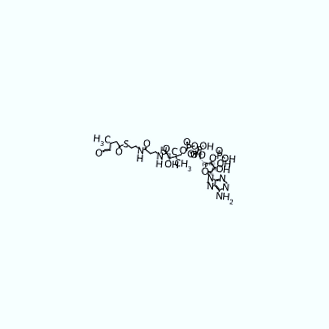 CC(C=C=O)CC(=O)SCCNC(=O)CCNC(=O)C(O)C(C)(C)COP(=O)(O)OP(=O)(O)OC[C@H]1O[C@@H](n2cnc3c(N)ncnc32)[C@H](O)[C@@H]1OP(=O)(O)O